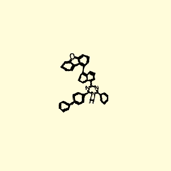 c1ccc(C2=NC(c3cccc4c(-c5cccc6oc7ccccc7c56)cccc34)=NC(c3ccc(-c4ccccc4)cc3)N2)cc1